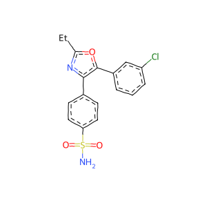 CCc1nc(-c2ccc(S(N)(=O)=O)cc2)c(-c2cccc(Cl)c2)o1